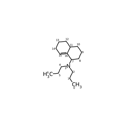 CCCN(CCC)C1CCCC2CCCC=C21